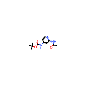 CC(=O)Nc1cc(NC(=O)OC(C)(C)C)ccn1